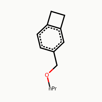 CCCOCc1ccc2c(c1)CC2